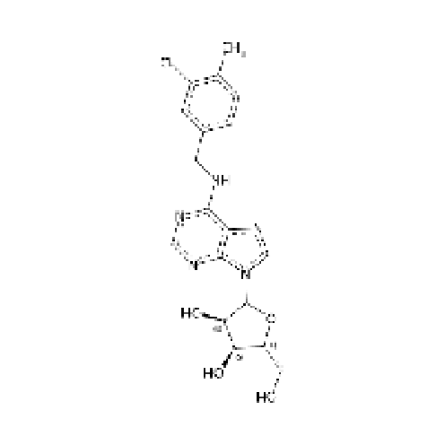 Cc1ccc(CNc2ncnc3c2ncn3C2O[C@H](CO)[C@@H](O)[C@H]2O)cc1Cl